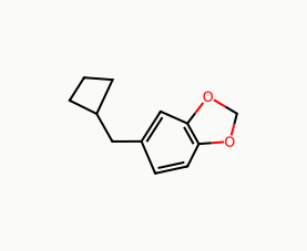 c1cc2c(cc1CC1CCC1)OCO2